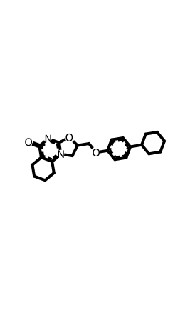 O=c1nc2n(c3c1CCCC3)CC(COc1ccc(C3CCCCC3)cc1)O2